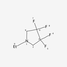 CCN1CC(F)(F)C(F)(F)C1